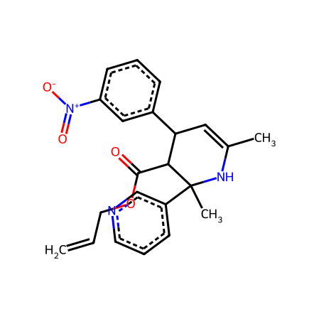 C=CCOC(=O)C1C(c2cccc([N+](=O)[O-])c2)C=C(C)NC1(C)c1cccnc1